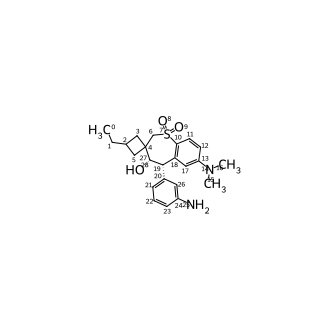 CCC1CC2(C1)CS(=O)(=O)c1ccc(N(C)C)cc1[C@H](c1cccc(N)c1)[C@@H]2O